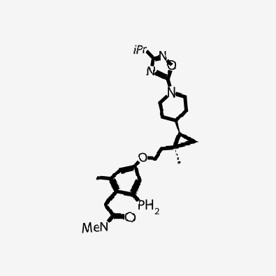 CNC(=O)Cc1c(C)cc(OCC[C@]2(C)C[C@@H]2C2CCN(c3nc(C(C)C)no3)CC2)cc1P